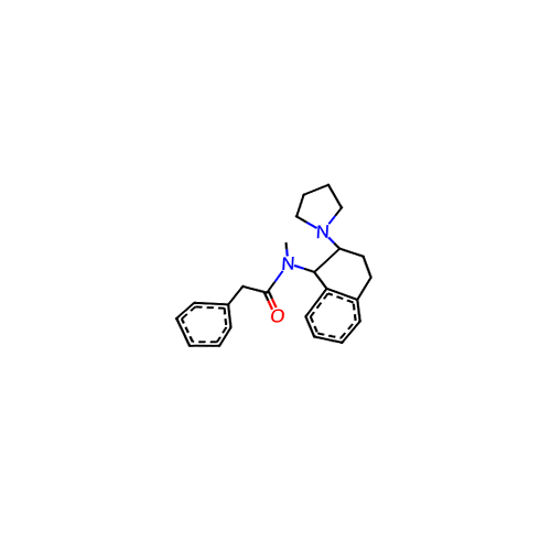 CN(C(=O)Cc1ccccc1)C1c2ccccc2CCC1N1CCCC1